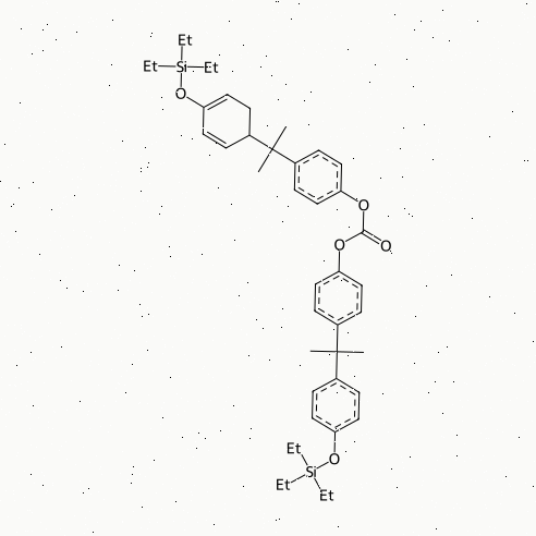 CC[Si](CC)(CC)OC1=CCC(C(C)(C)c2ccc(OC(=O)Oc3ccc(C(C)(C)c4ccc(O[Si](CC)(CC)CC)cc4)cc3)cc2)C=C1